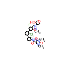 COc1cc(-c2cccc(-c3cccc(NC(=O)c4cn(C)c(=O)n(C)c4=O)c3Cl)c2Cl)cc(F)c1CN[C@H]1CCOC[C@@H]1O